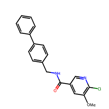 COc1cc(C(=O)NCc2ccc(-c3ccccc3)cc2)cnc1Cl